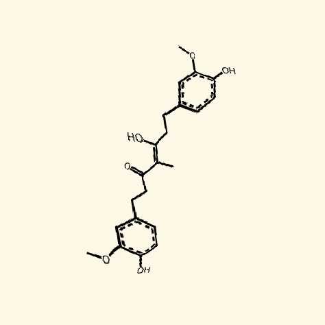 COc1cc(CCC(=O)/C(C)=C(\O)CCc2ccc(O)c(OC)c2)ccc1O